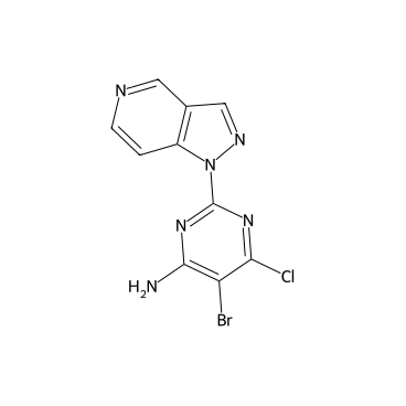 Nc1nc(-n2ncc3cnccc32)nc(Cl)c1Br